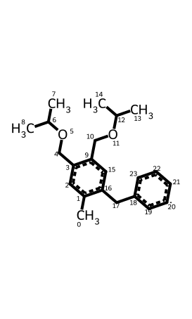 Cc1cc(COC(C)C)c(COC(C)C)cc1Cc1c[c]ccc1